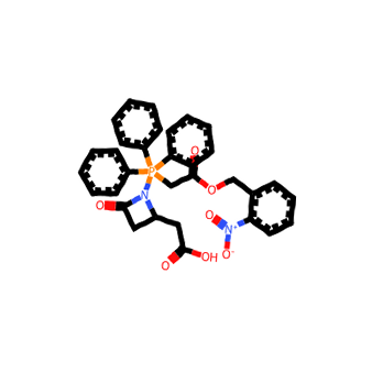 O=C(O)CC1CC(=O)N1P(CC(=O)OCc1ccccc1[N+](=O)[O-])(c1ccccc1)(c1ccccc1)c1ccccc1